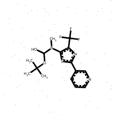 CN(c1sc(-c2cccnc2)nc1C(F)(F)F)C(O)OC(C)(C)C